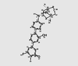 CN(c1cnc(-c2ccc(-c3cc(F)n(C)c(=O)c3)cc2O)nn1)[C@H]1C[C@@H]2CCC[C@](C)(C1)N2